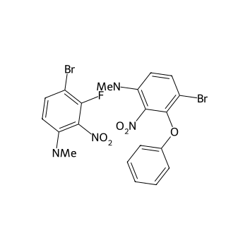 CNc1ccc(Br)c(F)c1[N+](=O)[O-].CNc1ccc(Br)c(Oc2ccccc2)c1[N+](=O)[O-]